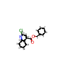 O=C(OCc1ccccc1)c1cc(Cl)nc2ccccc12